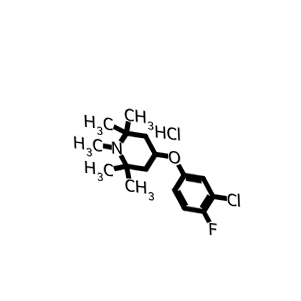 CN1C(C)(C)CC(Oc2ccc(F)c(Cl)c2)CC1(C)C.Cl